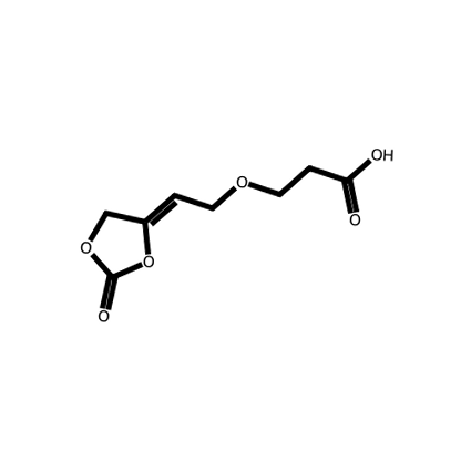 O=C(O)CCOCC=C1COC(=O)O1